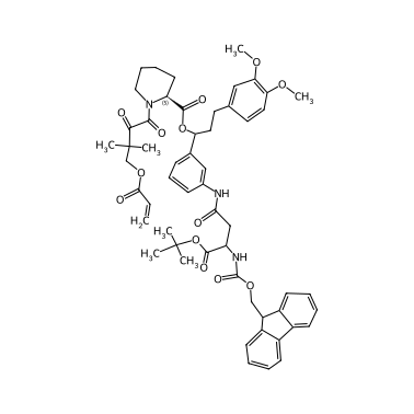 C=CC(=O)OCC(C)(C)C(=O)C(=O)N1CCCC[C@H]1C(=O)OC(CCc1ccc(OC)c(OC)c1)c1cccc(NC(=O)CC(NC(=O)OCC2c3ccccc3-c3ccccc32)C(=O)OC(C)(C)C)c1